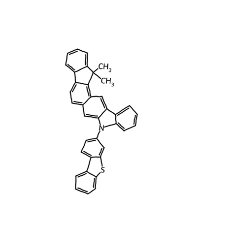 CC1(C)c2ccccc2-c2ccc3cc4c(cc3c21)c1ccccc1n4-c1ccc2c(c1)sc1ccccc12